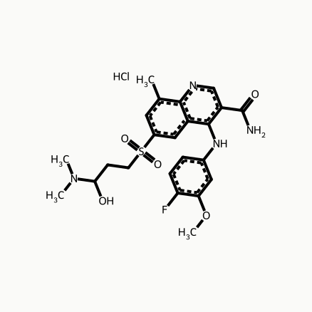 COc1cc(Nc2c(C(N)=O)cnc3c(C)cc(S(=O)(=O)CCC(O)N(C)C)cc23)ccc1F.Cl